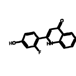 O=c1cc(-c2ccc(O)cc2F)[nH]c2ccccc12